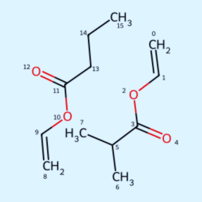 C=COC(=O)C(C)C.C=COC(=O)CCC